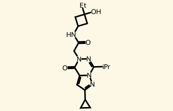 CCC1(O)CC(NC(=O)Cn2nc(C(C)C)n3nc(C4CC4)cc3c2=O)C1